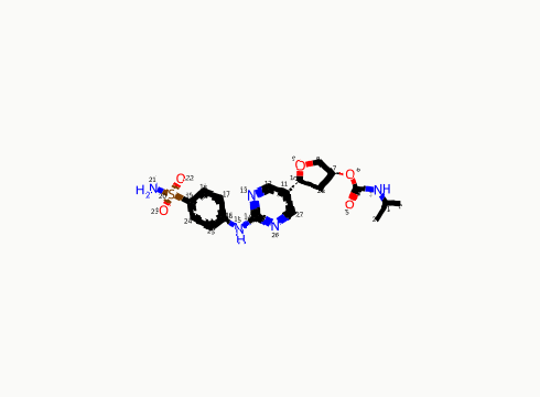 CC(C)NC(=O)O[C@H]1CO[C@@H](c2cnc(Nc3ccc(S(N)(=O)=O)cc3)nc2)C1